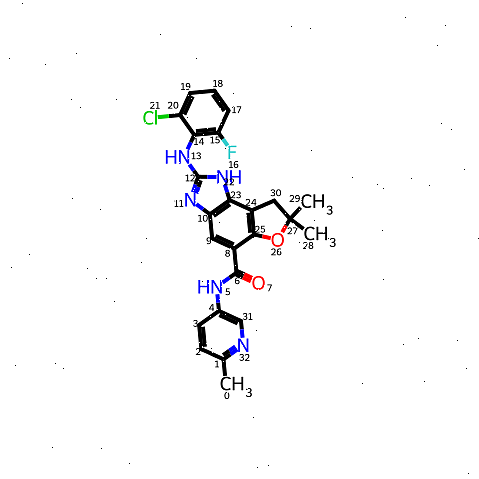 Cc1ccc(NC(=O)c2cc3nc(Nc4c(F)cccc4Cl)[nH]c3c3c2OC(C)(C)C3)cn1